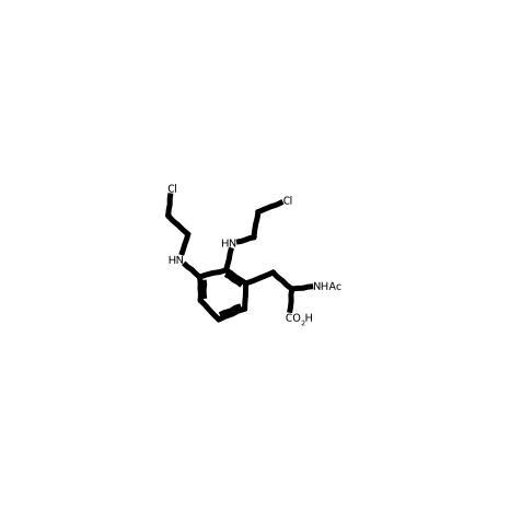 CC(=O)NC(Cc1cccc(NCCCl)c1NCCCl)C(=O)O